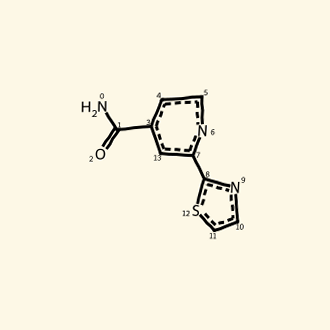 NC(=O)c1ccnc(-c2nccs2)c1